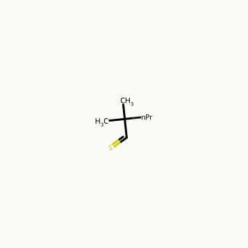 CCCC(C)(C)C=S